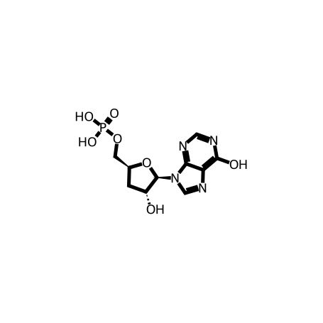 O=P(O)(O)OC[C@@H]1C[C@@H](O)[C@H](n2cnc3c(O)ncnc32)O1